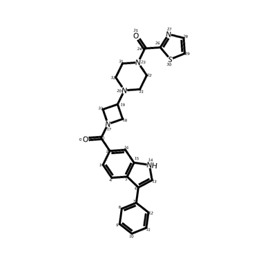 O=C(c1ccc2c(-c3ccccc3)c[nH]c2c1)N1CC(N2CCN(C(=O)c3nccs3)CC2)C1